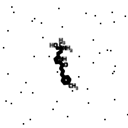 Cc1ccc(CCCC(=O)c2ccc(CC[C@@](C)(N)CO)[nH]2)cc1